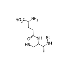 C=C(NCC)C(CS)NC(=O)CCC(N)C(=O)O